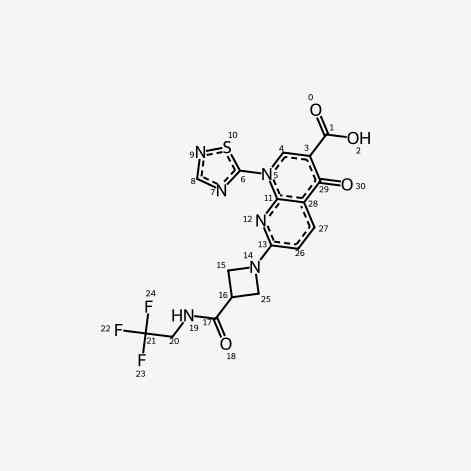 O=C(O)c1cn(-c2ncns2)c2nc(N3CC(C(=O)NCC(F)(F)F)C3)ccc2c1=O